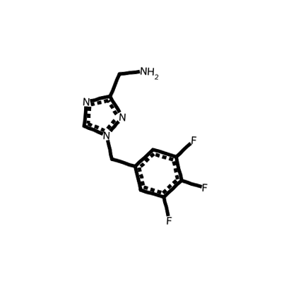 NCc1ncn(Cc2cc(F)c(F)c(F)c2)n1